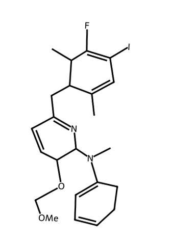 COCOC1C=CC(CC2C(C)=CC(I)=C(F)C2C)=NC1N(C)C1=CC=CCC1